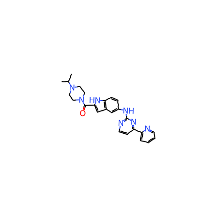 CC(C)N1CCN(C(=O)c2cc3cc(Nc4nccc(-c5ccccn5)n4)ccc3[nH]2)CC1